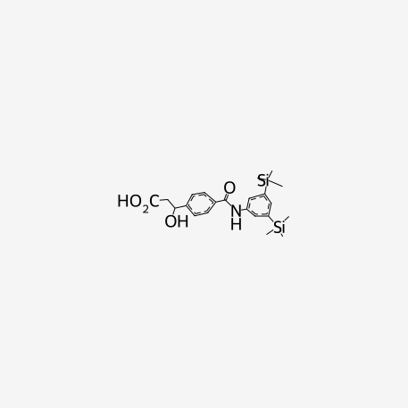 C[Si](C)(C)c1cc(NC(=O)c2ccc(C(O)CC(=O)O)cc2)cc([Si](C)(C)C)c1